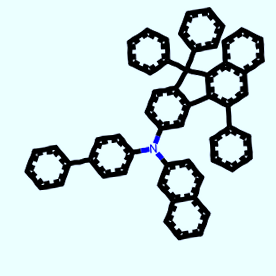 c1ccc(-c2ccc(N(c3ccc4c(c3)-c3c(-c5ccccc5)cc5ccccc5c3C4(c3ccccc3)c3ccccc3)c3ccc4ccccc4c3)cc2)cc1